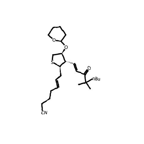 CCCCC(C)(C)C(=O)C=C[C@H]1[C@H](OC2CCCCO2)CS[C@@H]1CC=CCCCC#N